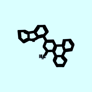 CC1CC(c2cccc3c2sc2ccccc23)=Cc2c1c1ccccc1c1ccccc21